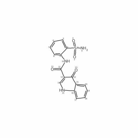 NS(=O)(=O)c1ccccc1NC(=O)c1c[nH]c2ccccc2c1=O